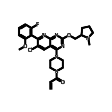 C=CC(=O)N1CCN(c2nc(OCC3CCCN3C)nc3nc(-c4c(F)cccc4OC)c(Cl)cc23)CC1